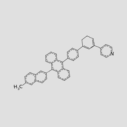 Cc1ccc2cc(-c3c4ccccc4c(-c4ccc(C5=CC(c6ccncc6)=CCC5)cc4)c4ccccc34)ccc2c1